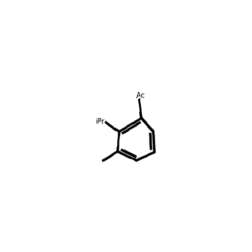 CC(=O)c1cccc(C)c1C(C)C